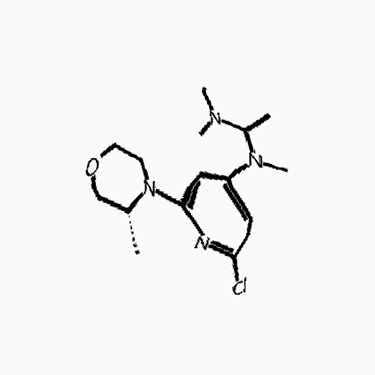 CC(N(C)C)N(C)c1cc(Cl)nc(N2CCOC[C@H]2C)c1